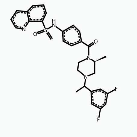 C=S(=O)(Nc1ccc(C(=O)N2CCN(C(C)c3cc(F)cc(F)c3)C[C@@H]2C)cc1)c1cccc2cccnc12